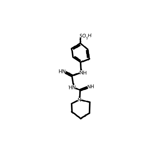 N=C(NC(=N)N1CCCCC1)Nc1ccc(S(=O)(=O)O)cc1